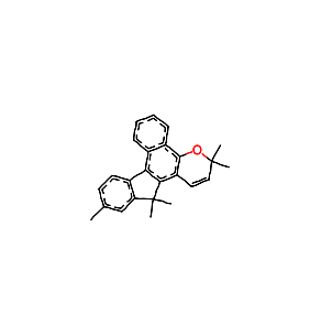 Cc1ccc2c(c1)C(C)(C)c1c3c(c4ccccc4c1-2)OC(C)(C)C=C3